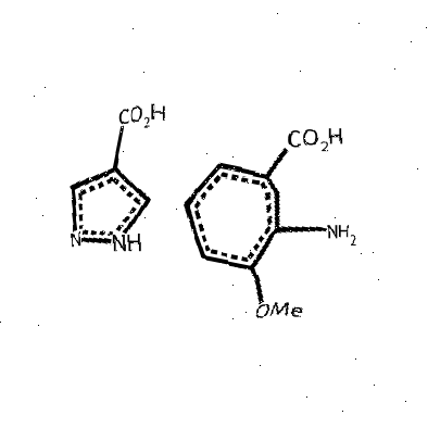 COc1cccc(C(=O)O)c1N.O=C(O)c1cn[nH]c1